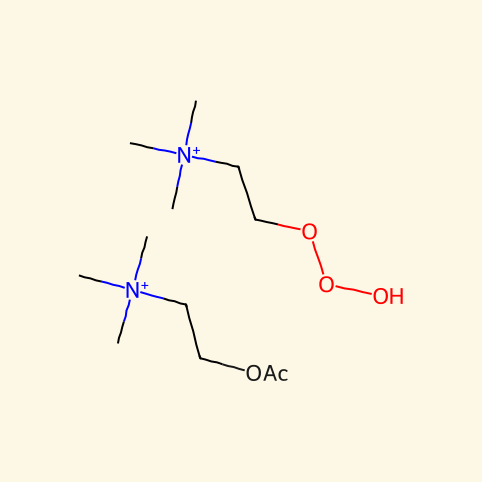 CC(=O)OCC[N+](C)(C)C.C[N+](C)(C)CCOOO